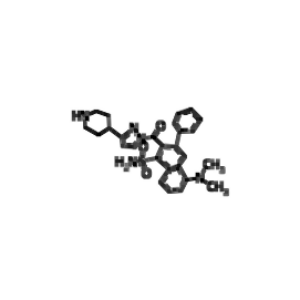 CN(C)c1cccc2c(S(N)(=O)=O)c(C(=O)n3ccc(C4CCNCC4)n3)c(-c3ccccc3)cc12